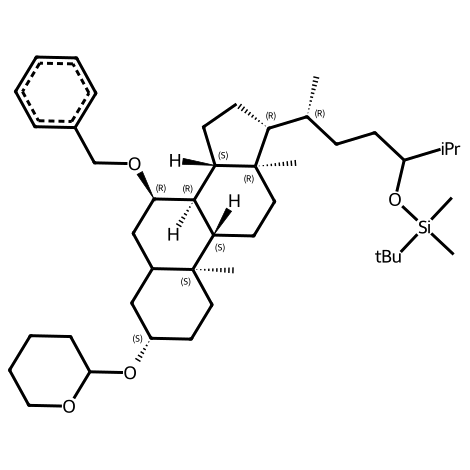 CC(C)C(CC[C@@H](C)[C@H]1CC[C@H]2[C@@H]3[C@H](OCc4ccccc4)CC4C[C@@H](OC5CCCCO5)CC[C@]4(C)[C@H]3CC[C@]12C)O[Si](C)(C)C(C)(C)C